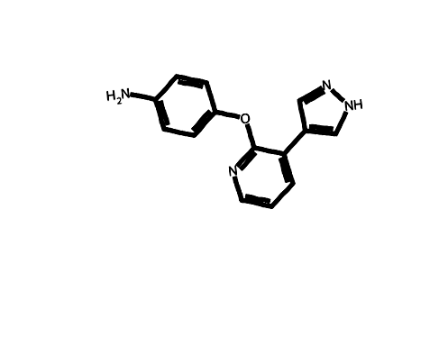 Nc1ccc(Oc2ncccc2-c2cn[nH]c2)cc1